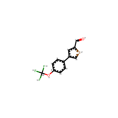 O=Cc1cc(-c2ccc(OC(F)(F)F)cc2)cs1